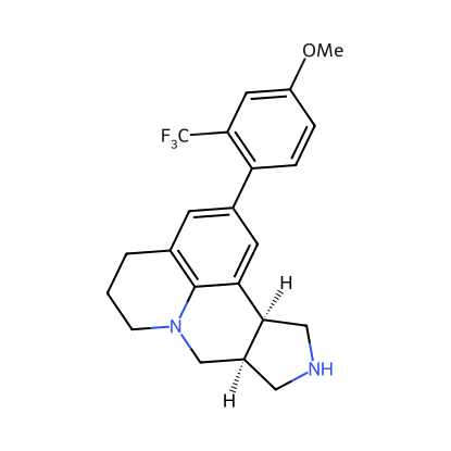 COc1ccc(-c2cc3c4c(c2)[C@H]2CNC[C@H]2CN4CCC3)c(C(F)(F)F)c1